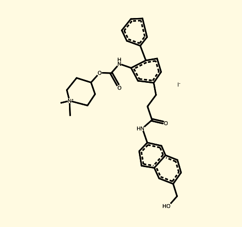 C[N+]1(C)CCC(OC(=O)Nc2cc(CCC(=O)Nc3ccc4cc(CO)ccc4c3)ccc2-c2ccccc2)CC1.[I-]